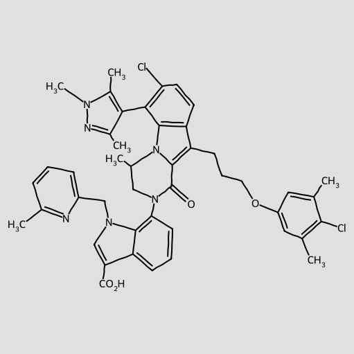 Cc1cccc(Cn2cc(C(=O)O)c3cccc(N4CC(C)n5c(c(CCCOc6cc(C)c(Cl)c(C)c6)c6ccc(Cl)c(-c7c(C)nn(C)c7C)c65)C4=O)c32)n1